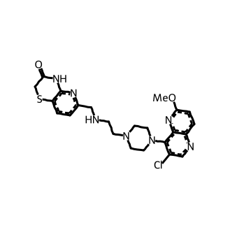 COc1ccc2ncc(Cl)c(N3CCN(CCNCc4ccc5c(n4)NC(=O)CS5)CC3)c2n1